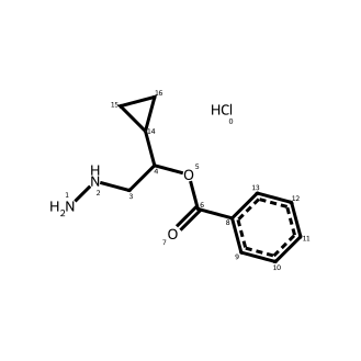 Cl.NNCC(OC(=O)c1ccccc1)C1CC1